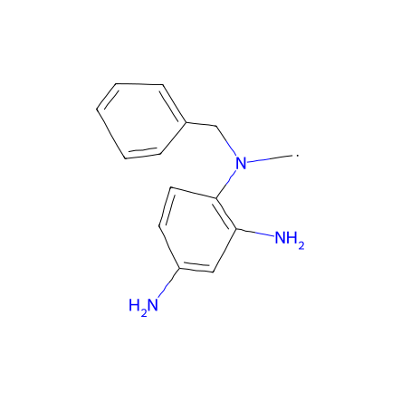 [CH2]N(Cc1ccccc1)c1ccc(N)cc1N